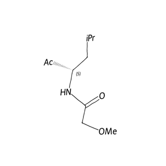 COCC(=O)N[C@@H](CC(C)C)C(C)=O